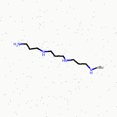 CCCCNCCCNCCCNCCCN